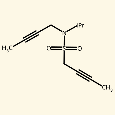 CC#CCN(C(C)C)S(=O)(=O)CC#CC